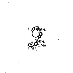 COc1cc(C(=O)N2[C@H]3CC[C@@H]2[C@H](N)C3)cc2nc(-c3cc4ccc5nc4n3CCCCCCC(C)(C)C(=O)N[C@@H]5C)n(C)c12